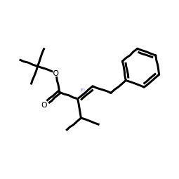 CC(C)/C(=C\Cc1ccccc1)C(=O)OC(C)(C)C